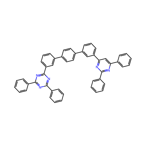 c1ccc(-c2cc(-c3cccc(-c4ccc(-c5cccc(-c6nc(-c7ccccc7)nc(-c7ccccc7)n6)c5)cc4)c3)nc(-c3ccccc3)n2)cc1